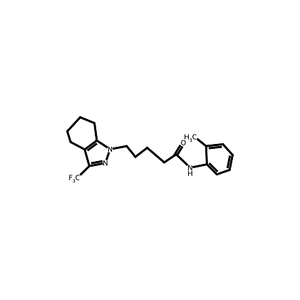 Cc1ccccc1NC(=O)CCCCn1nc(C(F)(F)F)c2c1CCCC2